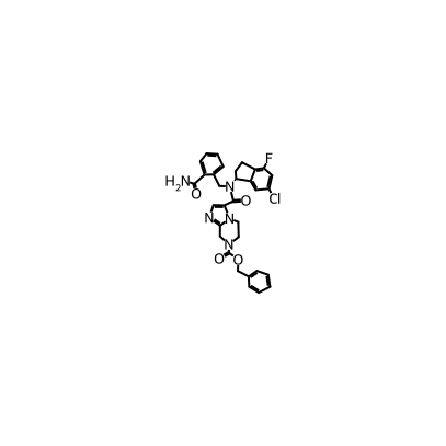 NC(=O)c1ccccc1CN(C(=O)c1cnc2n1CCN(C(=O)OCc1ccccc1)C2)[C@@H]1CCc2c(F)cc(Cl)cc21